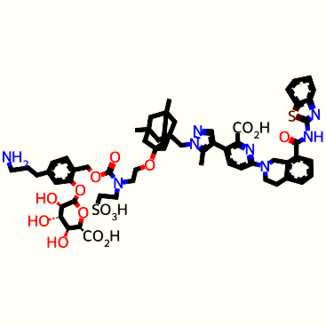 Cc1c(-c2ccc(N3CCc4cccc(C(=O)Nc5nc6ccccc6s5)c4C3)nc2C(=O)O)cnn1CC12CC3(C)CC(C)(C1)CC(OCCN(CCS(=O)(=O)O)C(=O)OCc1ccc(CCCN)cc1OC1O[C@H](C(=O)O)[C@@H](O)[C@H](O)[C@H]1O)(C3)C2